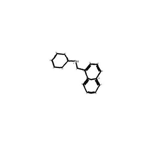 c1ccc2c(CNC3CCCCC3)cccc2c1